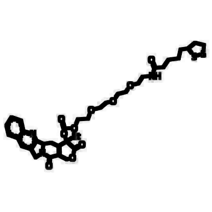 CCC1(OC(=O)OCCOCCOCCOCCNC(=O)CCCCC2CCSS2)C(=O)OCC2=C1CC1c3nc4ccccc4cc3CN1C2=O